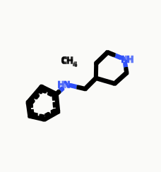 C.c1ccc(NCC2CCNCC2)cc1